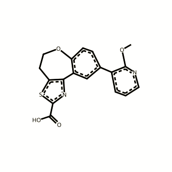 COc1ncccc1-c1ccc2c(c1)-c1nc(C(=O)O)sc1CCO2